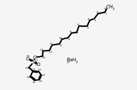 CCCCCCCCCCCCCCCCOS(=O)(=O)Cc1ccccc1.[BaH2]